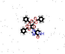 O=C(OC[C@H]1O[C@@H](n2cnc3c(=O)[nH]ccc32)[C@H](OC(=O)c2ccccc2)[C@@H]1OC(=O)c1ccccc1)c1ccccc1